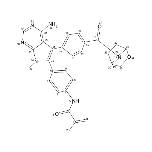 C=C(C)C(=O)Nc1ccc(-c2c(-c3ccc(C(=O)N4CC5CCC(C4)OC5)cc3)c3c(N)ncnc3n2C)cc1